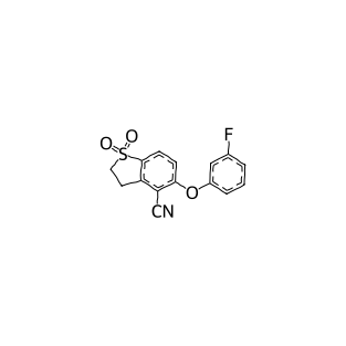 N#Cc1c(Oc2cccc(F)c2)ccc2c1CCS2(=O)=O